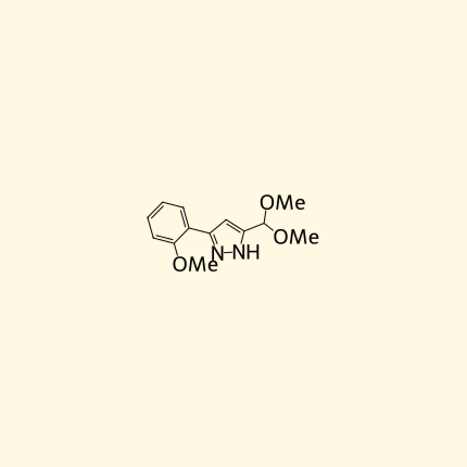 COc1ccccc1-c1cc(C(OC)OC)[nH]n1